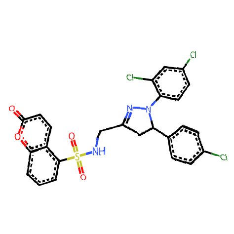 O=c1ccc2c(S(=O)(=O)NCC3=NN(c4ccc(Cl)cc4Cl)C(c4ccc(Cl)cc4)C3)cccc2o1